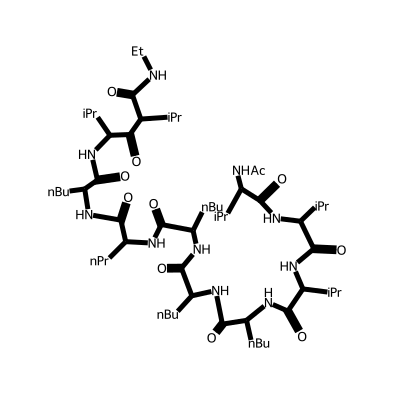 CCCCC(NC(=O)C(CCCC)NC(=O)C(CCCC)NC(=O)C(NC(=O)C(NC(=O)C(NC(C)=O)C(C)C)C(C)C)C(C)C)C(=O)NC(CCC)C(=O)NC(CCCC)C(=O)NC(C(=O)C(C(=O)NCC)C(C)C)C(C)C